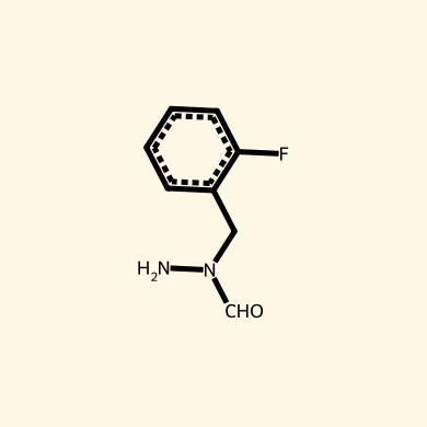 NN(C=O)Cc1ccccc1F